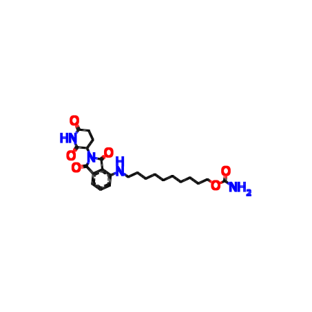 NC(=O)OCCCCCCCCCCNc1cccc2c1C(=O)N(C1CCC(=O)NC1=O)C2=O